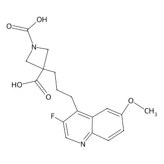 COc1ccc2ncc(F)c(CCCC3(C(=O)O)CN(C(=O)O)C3)c2c1